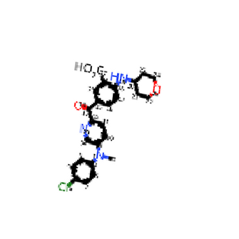 CN(c1ccc(Cl)cc1)c1ccc(C(=O)c2ccc(NC3CCOCC3)c(C(=O)O)c2)nc1